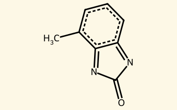 Cc1cccc2c1=NC(=O)N=2